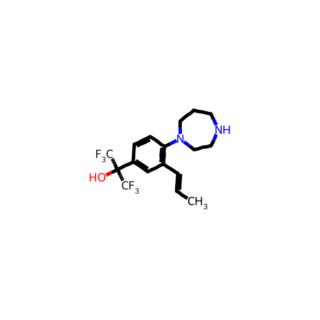 CC=Cc1cc(C(O)(C(F)(F)F)C(F)(F)F)ccc1N1CCCNCC1